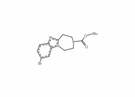 CC(C)(C)OC(=O)N1CCc2nc3ccc(Br)cc3n2CC1